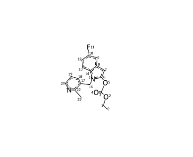 CCOC(=O)Oc1cc2cc(F)ccc2n1Cc1cccnc1C